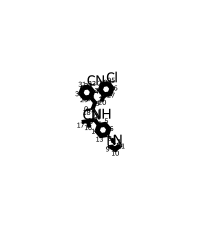 C[C@H](NC(c1ccc(-n2cccn2)cc1)C(C)(C)C#N)[C@@H](Cc1ccc(Cl)cc1)c1cccc(C#N)c1